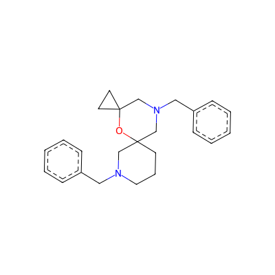 c1ccc(CN2CCCC3(C2)CN(Cc2ccccc2)CC2(CC2)O3)cc1